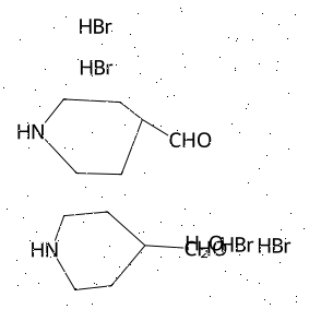 Br.Br.Br.Br.O.O=CC1CCNCC1.O=CC1CCNCC1